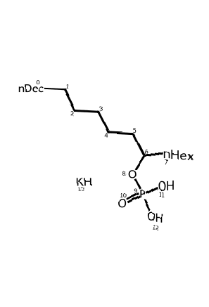 CCCCCCCCCCCCCCCC(CCCCCC)OP(=O)(O)O.[KH]